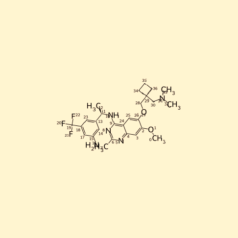 COc1cc2nc(C)nc(N[C@H](C)c3cc(N)cc(C(F)(F)F)c3)c2cc1OCC1(CN(C)C)CCC1